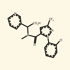 CN(C(=O)c1cc(C(F)(F)F)nn1-c1ccccc1Cl)C(C(=O)O)c1cccnc1